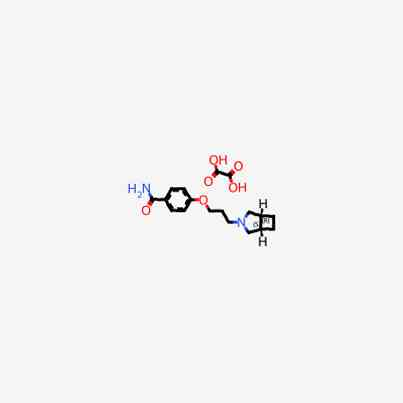 NC(=O)c1ccc(OCCCN2C[C@H]3CC[C@H]3C2)cc1.O=C(O)C(=O)O